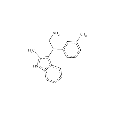 Cc1cccc(C(C[N+](=O)[O-])c2c(C)[nH]c3ccccc23)c1